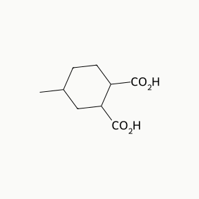 CC1CCC(C(=O)O)C(C(=O)O)C1